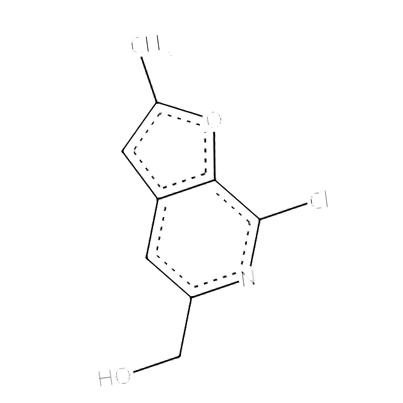 Cc1cc2cc(CO)nc(Cl)c2o1